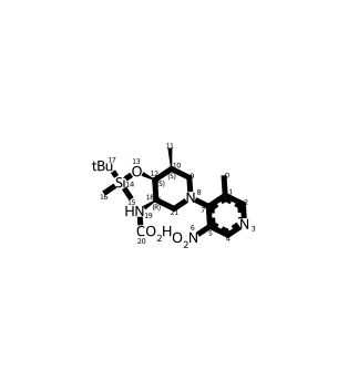 Cc1cncc([N+](=O)[O-])c1N1C[C@H](C)[C@H](O[Si](C)(C)C(C)(C)C)[C@H](NC(=O)O)C1